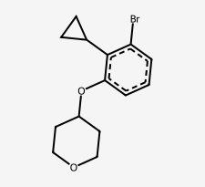 Brc1cccc(OC2CCOCC2)c1C1CC1